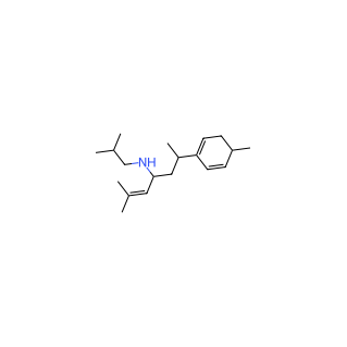 CC(C)=CC(CC(C)C1=CCC(C)C=C1)NCC(C)C